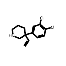 C=CC1(c2ccc(Cl)c(Cl)c2)CCCNC1